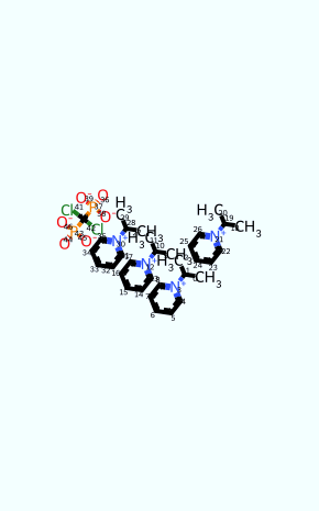 CC(C)[n+]1ccccc1.CC(C)[n+]1ccccc1.CC(C)[n+]1ccccc1.CC(C)[n+]1ccccc1.O=P([O-])([O-])C(Cl)(Cl)P(=O)([O-])[O-]